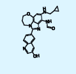 O=CNc1c(NCC2CC2)cc2c3c1nc(-c1ccc4ncc(O)cc4c1)n3CCCO2